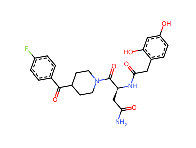 NC(=O)C[C@H](NC(=O)Cc1ccc(O)cc1O)C(=O)N1CCC(C(=O)c2ccc(F)cc2)CC1